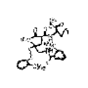 COc1ccccc1SSC(C)(CNC(=O)c1ccccc1OC)CC(C(=O)NC(CC(C)C)C(=O)OC(C)(C)C)C(=O)OC(C)(C)C